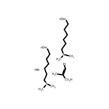 Br.CCC=C(C)C(=O)O.CCCCCCCCCCCCCCCCN(C)C.CCCCCCCCCCCCCCCCN(C)C